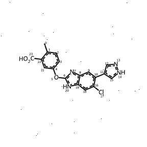 Cc1ccc(Oc2nc3cc(-c4cn[nH]c4)c(Cl)cc3[nH]2)cc1C(=O)O